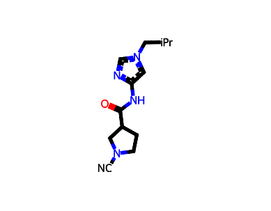 CC(C)Cn1cnc(NC(=O)C2CCN(C#N)C2)c1